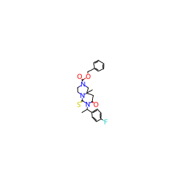 CC(c1ccc(F)cc1)N1C(=O)CC2(C)CN(C(=O)OCc3ccccc3)CCN2C1=S